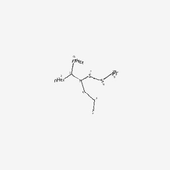 CCCCCCC(CCCCCC)C(CCF)SSC(C)C